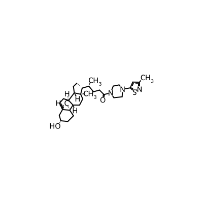 Cc1cc(N2CCN(C(=O)CC[C@@H](C)[C@H]3CC[C@H]4[C@@H]5CC=C6C[C@@H](O)CC[C@]6(C)[C@H]5CC[C@]34C)CC2)sn1